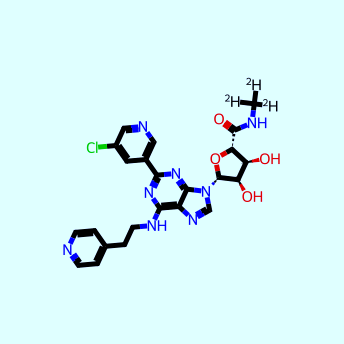 [2H]C([2H])([2H])NC(=O)[C@H]1O[C@@H](n2cnc3c(NCCc4ccncc4)nc(-c4cncc(Cl)c4)nc32)[C@H](O)[C@@H]1O